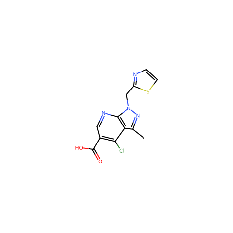 Cc1nn(Cc2nccs2)c2ncc(C(=O)O)c(Cl)c12